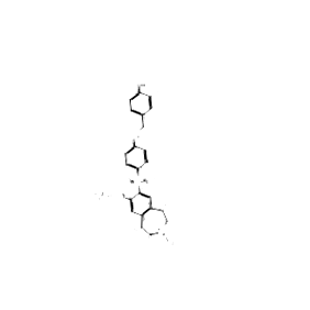 COc1cc2c(cc1S(=O)(=O)c1ccc(OCc3ccc(Cl)cc3)cc1)CCN(C)CC2